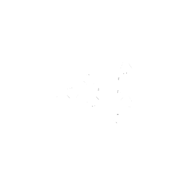 Cc1noc(-c2cccc(NCNc3ccccc3)c2)n1.Oc1cccc(Nc2ncc(F)c(Nc3ccc4c(c3)OCCO4)n2)c1